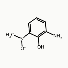 C[S+]([O-])c1cccc(N)c1O